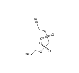 C#CCOS(=O)(=O)CS(=O)(=O)OCC=C